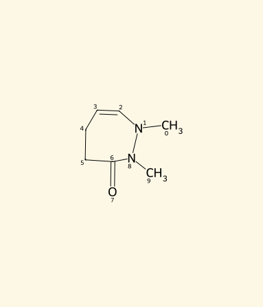 CN1C=CCCC(=O)N1C